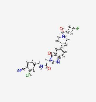 CN(Cc1ccc(C#N)c(Cl)c1)C(=O)Cn1cnc2ccc(C3CCN(C(=O)C4CC(F)C4)CC3)cc2c1=O